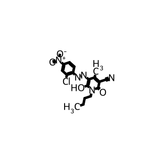 CCCCn1c(O)c(/N=N/c2ccc([N+](=O)[O-])cc2Cl)c(C)c(C#N)c1=O